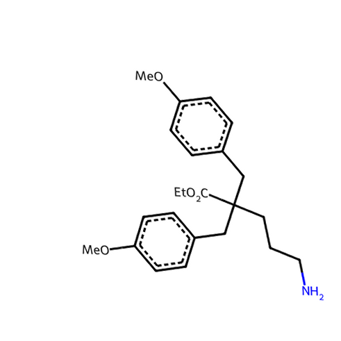 CCOC(=O)C(CCCN)(Cc1ccc(OC)cc1)Cc1ccc(OC)cc1